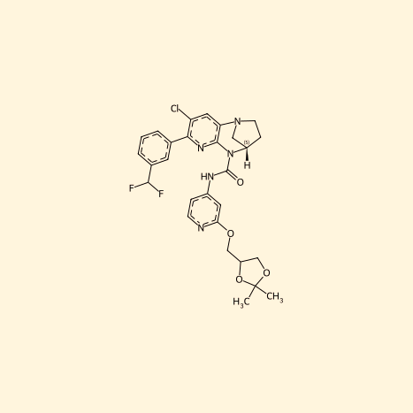 CC1(C)OCC(COc2cc(NC(=O)N3c4nc(-c5cccc(C(F)F)c5)c(Cl)cc4N4CC[C@H]3C4)ccn2)O1